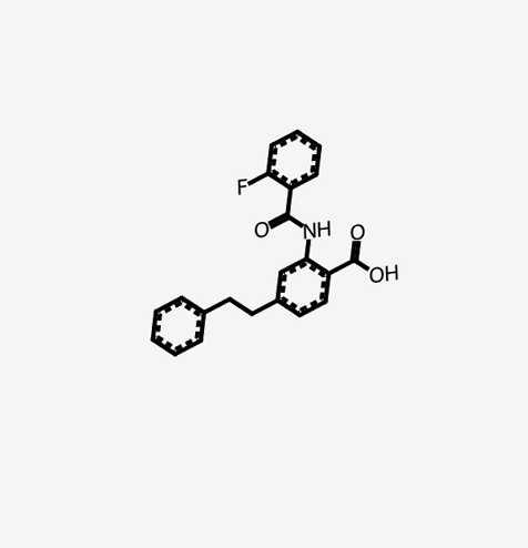 O=C(Nc1cc(CCc2ccccc2)ccc1C(=O)O)c1ccccc1F